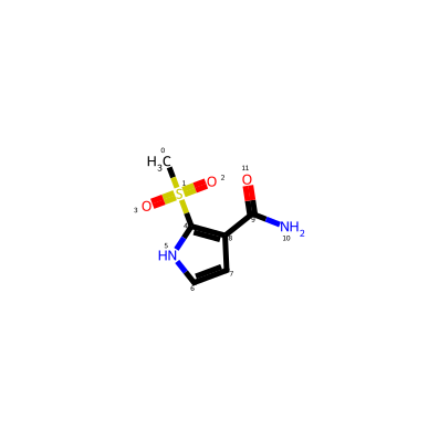 CS(=O)(=O)c1[nH]ccc1C(N)=O